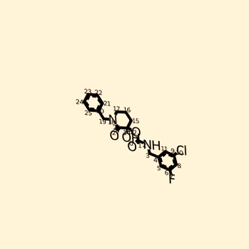 O=C(NCc1cc(F)cc(Cl)c1)O[C@@]1(O)CCCN(Cc2ccccc2)C1=O